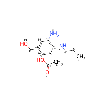 CC(=O)O.CCCNc1ccc(CO)cc1N